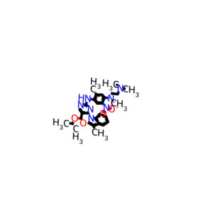 Cc1cc(N(C)CCN(C)C)c([N+](=O)[O-])cc1Nc1ncc(C(=O)OC(C)C)c(-n2cc(C)c3ccccc32)n1